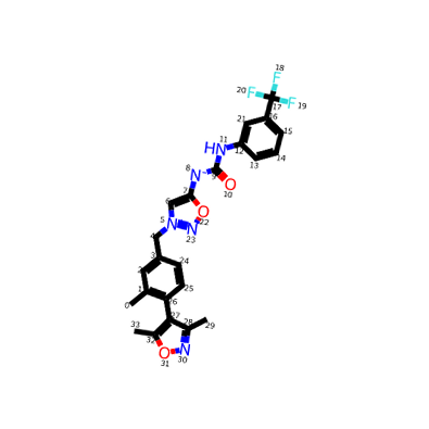 Cc1cc(C[n+]2cc([N-]C(=O)Nc3cccc(C(F)(F)F)c3)on2)ccc1-c1c(C)noc1C